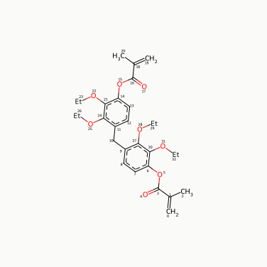 C=C(C)C(=O)Oc1ccc(Cc2ccc(OC(=O)C(=C)C)c(OCC)c2OCC)c(OCC)c1OCC